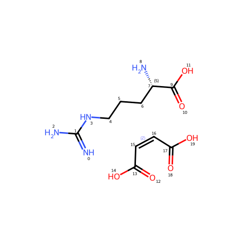 N=C(N)NCCC[C@H](N)C(=O)O.O=C(O)/C=C\C(=O)O